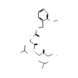 COCC(=O)[C@H](CC(C)C)NC(=O)[C@H](CC(C)C)NC(=O)OCc1ccccc1OC